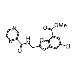 COC(=O)c1cc(Cl)cc2cc(CNC(=O)c3cnccn3)oc12